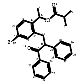 CC(C)C(=O)OC(C)c1c[c]c(Br)cc1CC(C(=O)c1ccccc1)c1ccccc1